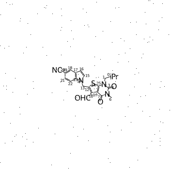 CC(C)Cn1c(=O)n(C)c(=O)c2c(C=O)c(Cn3ccc4cc(C#N)ccc43)sc21